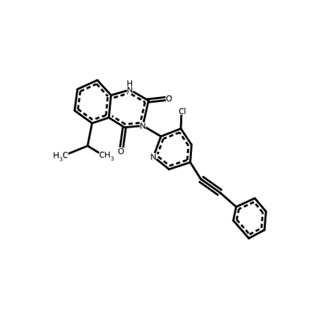 CC(C)c1cccc2[nH]c(=O)n(-c3ncc(C#Cc4ccccc4)cc3Cl)c(=O)c12